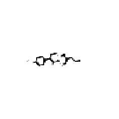 CCCCc1cnc2c(O)c(-c3ccc(OC)cc3)ccn2c1=O